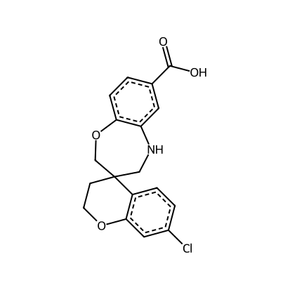 O=C(O)c1ccc2c(c1)NCC1(CCOc3cc(Cl)ccc31)CO2